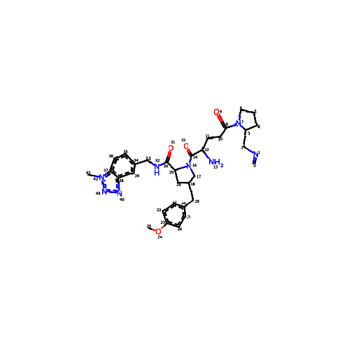 C=NCC1CCCN1C(=O)CCC(N)C(=O)N1CC(Cc2ccc(OC)cc2)CC1C(=O)NCc1ccc2c(c1)nnn2C